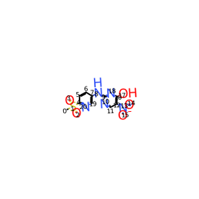 CS(=O)(=O)c1ccc(Nc2ncc([N+](=O)[O-])c(O)n2)cn1